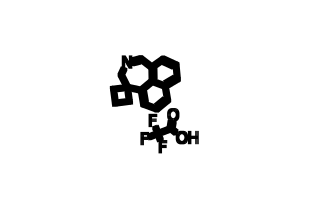 C1=NCC2(CCC2)c2cccc3cccc1c23.O=C(O)C(F)(F)F